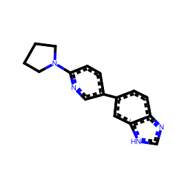 c1nc2ccc(-c3ccc(N4CCCC4)nc3)cc2[nH]1